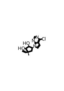 C=C[C@@]1(C)C[C@@H](n2ccc3c(Cl)ncnc32)[C@H](O)[C@@H]1O